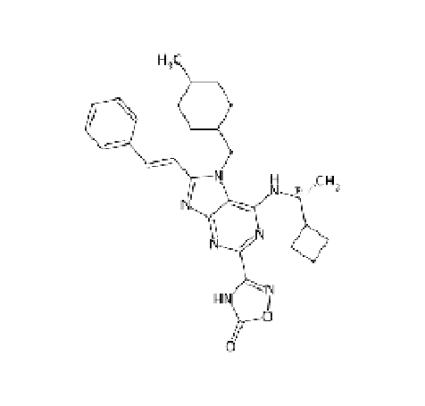 CC1CCC(Cn2c(C=Cc3ccccc3)nc3nc(-c4noc(=O)[nH]4)nc(N[C@H](C)C4CCC4)c32)CC1